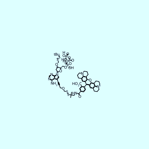 CC(C)(C)SSCO[C@@H]1C[C@H](n2cc(C#CCOCSSC(C)(C)CNC(=O)c3ccc(C4=c5cc6c7c(c5Oc5c4cc4c8c5CCCN8CCC4)CCC[N+]=7CCC6)c(C(=O)O)c3)c3c(N)ncnc32)O[C@@H]1COP(=O)(O)OP(=O)(O)OP(=O)(O)O